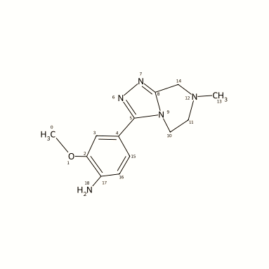 COc1cc(-c2nnc3n2CCN(C)C3)ccc1N